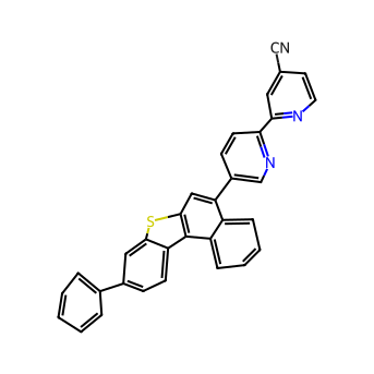 N#Cc1ccnc(-c2ccc(-c3cc4sc5cc(-c6ccccc6)ccc5c4c4ccccc34)cn2)c1